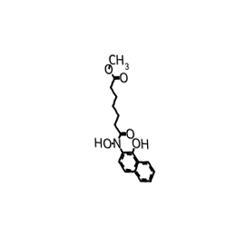 COC(=O)CCCCCC(=O)N(O)c1ccc2ccccc2c1O